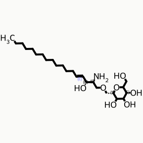 CCCCCCCCCCCCC/C=C/[C@@H](O)[C@@H](N)COC[C@@H]1OC(CO)[C@@H](O)C(O)C1O